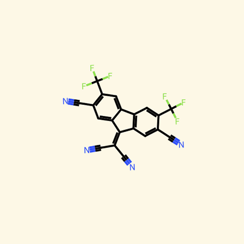 N#CC(C#N)=C1c2cc(C#N)c(C(F)(F)F)cc2-c2cc(C(F)(F)F)c(C#N)cc21